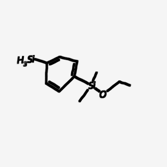 CCO[Si](C)(C)c1ccc([SiH3])cc1